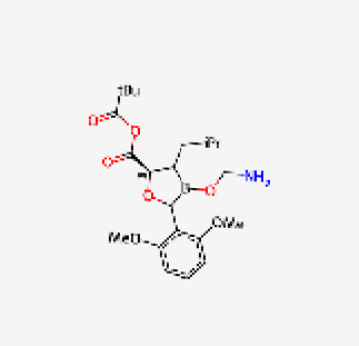 COc1cccc(OC)c1C1O[C@@H](C(=O)OC(=O)C(C)(C)C)C(CC(C)C)B1OCN